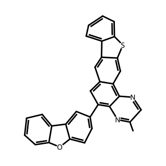 Cc1cnc2c(n1)c(-c1ccc3oc4ccccc4c3c1)cc1cc3c(cc12)sc1ccccc13